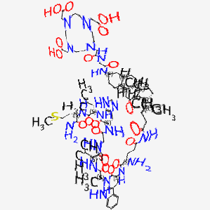 CSCC[C@H](NC(=O)[C@H](CC(C)C)NC(=O)[C@H](Cc1c[nH]cn1)NC(=O)CNC(=O)[C@@H](NC(=O)[C@H](C)NC(=O)[C@H](Cc1c[nH]c2ccccc12)NC(=O)[C@@H](N)CCC(=O)NC(=O)CC[C@@H](C)[C@H]1CC[C@H]2[C@@H]3CC[C@@H]4C[C@@H](NC(=O)CNC(=O)CN5CCN(CC(=O)O)CCN(CC(=O)O)CCN(CC(=O)O)CC5)CC[C@]4(C)[C@H]3CC(=O)[C@]12C)C(C)C)C(N)=O